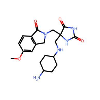 COc1ccc2c(c1)CN(CC1(CNC3CCC(N)CC3)NC(=O)NC1=O)C2=O